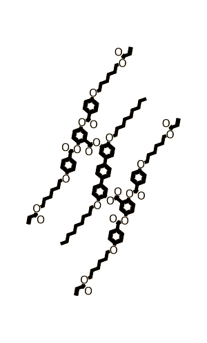 C=CC(=O)OCCCCCCOc1ccc(C(=O)Oc2ccc(OC(=O)c3ccc(OCCCCCCOC(=O)C=C)cc3)c(C(=O)Oc3cc(-c4ccc(-c5ccc(OCCCCCCCCC)c(OC(=O)c6cc(OC(=O)c7ccc(OCCCCCCOC(=O)C=C)cc7)ccc6OC(=O)c6ccc(OCCCCCCOC(=O)C=C)cc6)c5)cc4)ccc3OCCCCCCCCC)c2)cc1